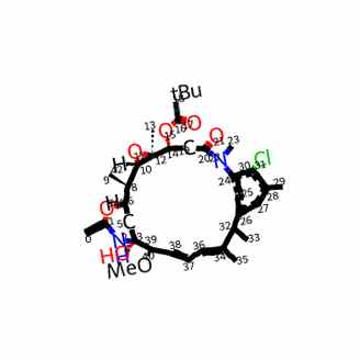 C=C1N[C@]2(O)C[C@H](O1)[C@@H](C)[C@@H]1O[C@@]1(C)[C@@H](OC(=O)C(C)(C)C)CC(=O)N(C)c1cc(cc(C)c1Cl)C(C)/C(C)=C/C=C/[C@H]2OC